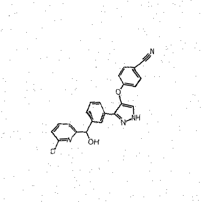 N#Cc1ccc(Oc2c[nH]nc2-c2cccc(C(O)c3cccc(Cl)n3)c2)cc1